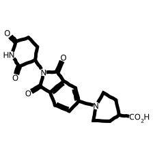 O=C1CCC(N2C(=O)c3ccc(N4CCC(C(=O)O)CC4)cc3C2=O)C(=O)N1